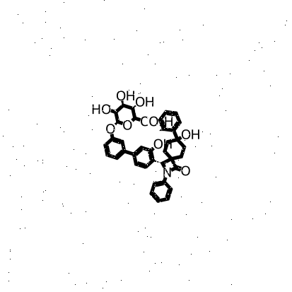 O=C(O)C1O[C@@H](Oc2cccc(-c3ccc([C@H]4N(c5ccccc5)C(=O)C45CCC(O)(c4ccccc4)CC5)c(O)c3)c2)C(O)[C@@H](O)[C@@H]1O